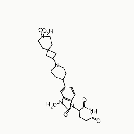 Cn1c(=O)n(C2CCC(=O)NC2=O)c2ccc(C3CCN(C4CC5(CCN(C(=O)O)CC5)C4)CC3)cc21